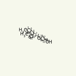 Cc1ccc(C=C(CCCOc2ccc(CO)cc2)c2ccsc2)cc1C